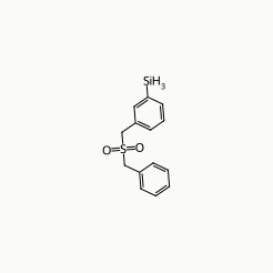 O=S(=O)(Cc1ccccc1)Cc1cccc([SiH3])c1